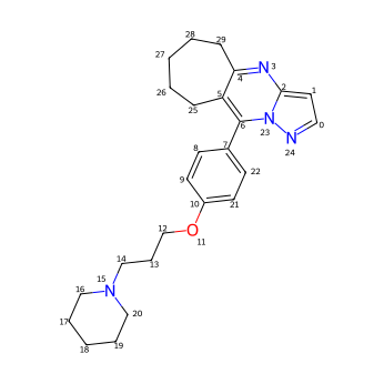 c1cc2nc3c(c(-c4ccc(OCCCN5CCCCC5)cc4)n2n1)CCCCC3